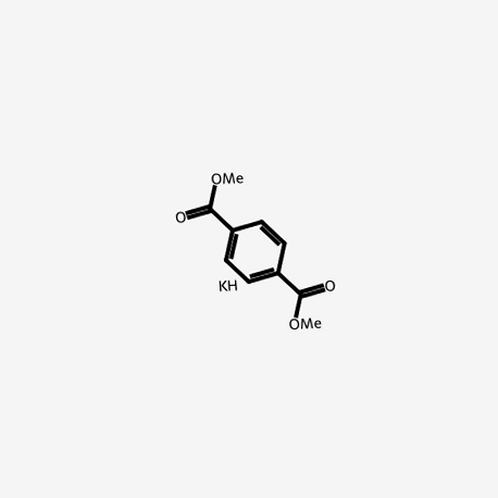 COC(=O)c1ccc(C(=O)OC)cc1.[KH]